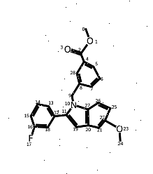 COC(=O)c1cccc(Cn2c(-c3cccc(F)c3)cc3cc(OC)ccc32)c1